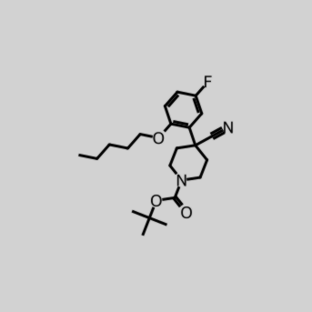 CCCCCOc1ccc(F)cc1C1(C#N)CCN(C(=O)OC(C)(C)C)CC1